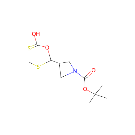 CSC(OC(O)=S)C1CN(C(=O)OC(C)(C)C)C1